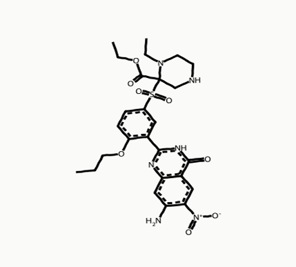 CCCOc1ccc(S(=O)(=O)C2(C(=O)OCC)CNCCN2CC)cc1-c1nc2cc(N)c([N+](=O)[O-])cc2c(=O)[nH]1